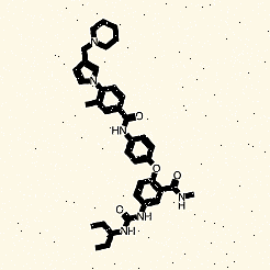 CCC(CC)NC(=O)Nc1ccc(Oc2ccc(NC(=O)c3ccc(-n4ccc(CN5CCCCC5)c4)c(C)c3)cc2)c(C(=O)NC)c1